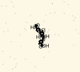 CC(=O)NC1CCN(c2nc3c(cc2Cl)NC(Oc2ccc(C)c(C(=O)O)c2)N3)CC1